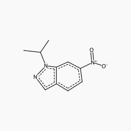 CC(C)n1ncc2ccc([N+](=O)[O-])cc21